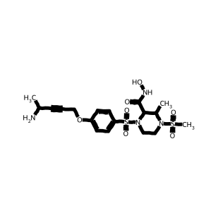 CC(N)C#CCOc1ccc(S(=O)(=O)N2CCN(S(C)(=O)=O)C(C)C2C(=O)NO)cc1